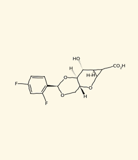 O=C(O)C1[C@@H]2[C@@H](O)[C@@H]3O[C@H](c4ccc(F)cc4F)OC[C@H]3O[C@H]12